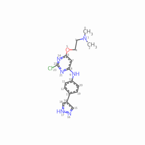 CN(C)CCOc1cc(Nc2ccc(-c3cn[nH]c3)cc2)nc(Cl)n1